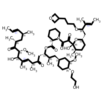 C/C=C/[C@@H](C)C[C@@H](C)C(=O)[C@H](OC)[C@H](O)/C(C)=C/[C@@H](C)C(=O)C[C@H](OC(=O)[C@@H]1CCCCN1C(=O)C(=O)[C@]1(O)O[C@H](C[C@@H](OCCCC2COC2)/C(C)=C/C)CC[C@H]1C)[C@H](C)C[C@@H]1CC[C@@H](OCCO)[C@H](OC)C1